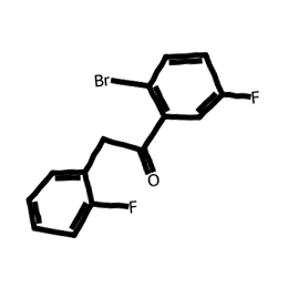 O=C(Cc1ccccc1F)c1cc(F)ccc1Br